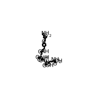 NCc1cc(COc2ccc(CCNC(=O)CC[C@H](NC(=O)CC[C@H](NC(=O)CC[C@H](N)C(=O)O)C(=O)O)C(=O)O)cc2)co1